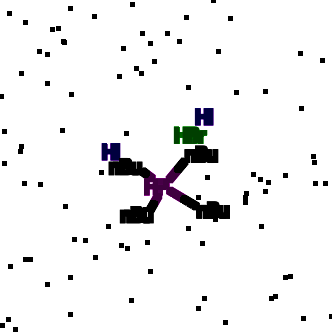 Br.CCCC[PH](CCCC)(CCCC)CCCC.I.I